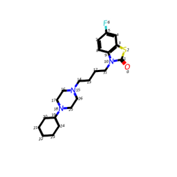 O=c1sc2cc(F)ccc2n1CCCCN1CCN(C2CCCCC2)CC1